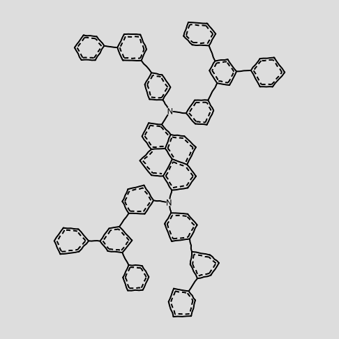 c1ccc(-c2cccc(-c3ccc(N(c4cccc(-c5cc(-c6ccccc6)cc(-c6ccccc6)c5)c4)c4ccc5ccc6c(N(c7ccc(-c8cccc(-c9ccccc9)c8)cc7)c7cccc(-c8cc(-c9ccccc9)cc(-c9ccccc9)c8)c7)ccc7ccc4c5c76)cc3)c2)cc1